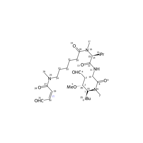 CC[C@H](C)[C@@H]([C@@H](CC=O)OC)N(C)C(=O)CNC(=O)[C@H](C(C)C)N(C)C(=O)CCCCCN(C)C(=O)/C=C\C=O